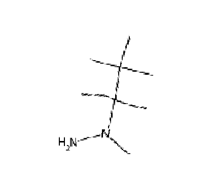 CN(N)C(C)(C)C(C)(C)C